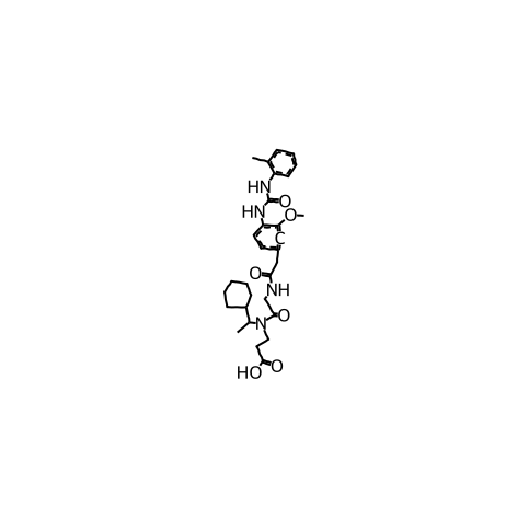 COc1cc(CC(=O)NCC(=O)N(CCC(=O)O)C(C)C2CCCCC2)ccc1NC(=O)Nc1ccccc1C